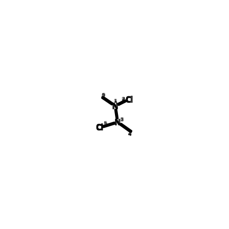 CN(Cl)N(C)Cl